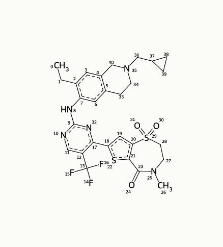 CCc1cc2c(cc1Nc1ncc(C(F)(F)F)c(-c3cc4c(s3)C(=O)N(C)CCS4(=O)=O)n1)CCN(CC1CC1)C2